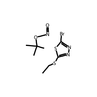 CC(C)(C)ON=O.CCSc1nnc(Br)s1